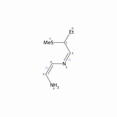 CCC(/C=N\C=C/N)SC